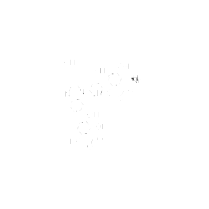 CCCCC(=Nc1ccccc1)C(CCCC)=Nc1ccccc1.Cc1ccc(O)c(O)c1C(=O)[O-].Cc1ccc(O)c(O)c1C(=O)[O-].[Ni+2]